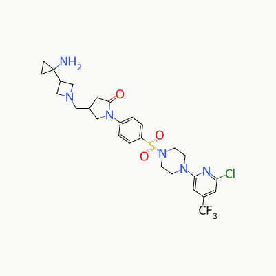 NC1(C2CN(CC3CC(=O)N(c4ccc(S(=O)(=O)N5CCN(c6cc(C(F)(F)F)cc(Cl)n6)CC5)cc4)C3)C2)CC1